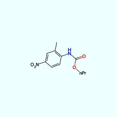 CCCOC(=O)Nc1ccc([N+](=O)[O-])cc1C